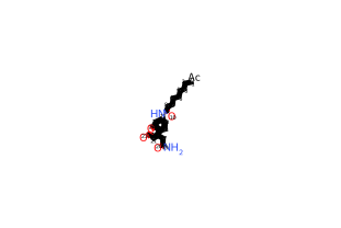 CC(=O)CCCCCCCCC(=O)Nc1ccc2c(CC(N)=O)cc(=O)oc2c1